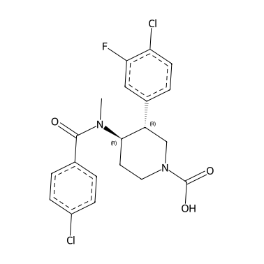 CN(C(=O)c1ccc(Cl)cc1)[C@@H]1CCN(C(=O)O)C[C@H]1c1ccc(Cl)c(F)c1